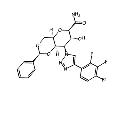 NC(=O)[C@@H]1O[C@@H]2CO[C@H](c3ccccc3)O[C@@H]2[C@H](n2cc(-c3ccc(Br)c(F)c3F)nn2)[C@H]1O